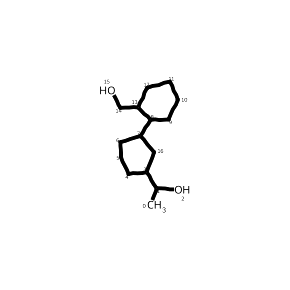 CC(O)C1CCCC(C2CCCCC2CO)C1